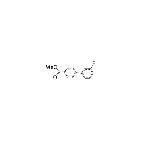 COC(=O)c1ccc(-c2cccc(F)c2)cc1